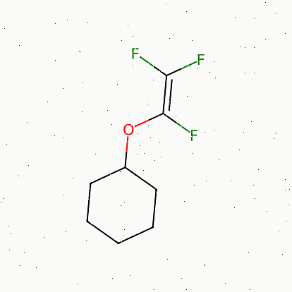 FC(F)=C(F)OC1CCCCC1